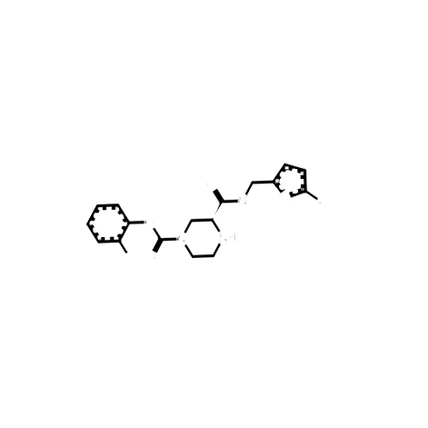 Cc1ccc(CNC(=O)[C@@H]2CN(C(=O)Oc3ccccc3Cl)CCN2)s1